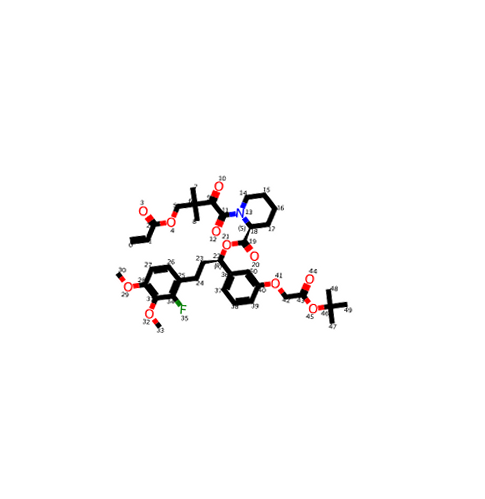 C=CC(=O)OCC(C)(C)C(=O)C(=O)N1CCCC[C@H]1C(=O)O[C@H](CCc1ccc(OC)c(OC)c1F)c1cccc(OCC(=O)OC(C)(C)C)c1